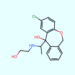 CC(NCCO)C1(O)c2ccccc2COc2ccc(Cl)cc21